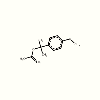 C=C(C)OC(C)(C)c1ccc(OC)cc1